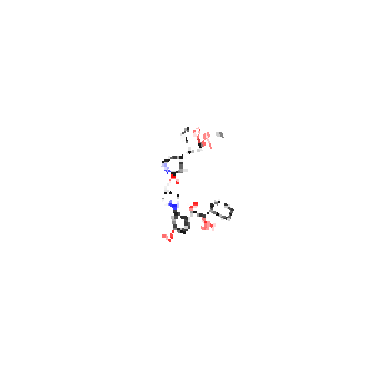 CCOC(=O)CC(c1ccnc(OCC2CCN(c3cc(OC)ccc3C(=O)C(O)c3ccccc3)CC2)c1)C1CC1